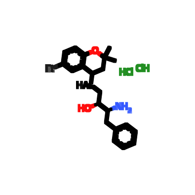 CCc1ccc2c(c1)C([AsH]C[C@H](O)[C@@H](N)Cc1ccccc1)CC(C)(C)O2.Cl.Cl